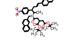 CC(C(C/C=C/c1ccc2ccccc2c1)c1ccc([N+](=O)[O-])cc1)N(Cc1ccc2ccccc2c1)C(=O)CC(CC(=O)OC(C)(C)C)C(=O)OC(C)(C)C